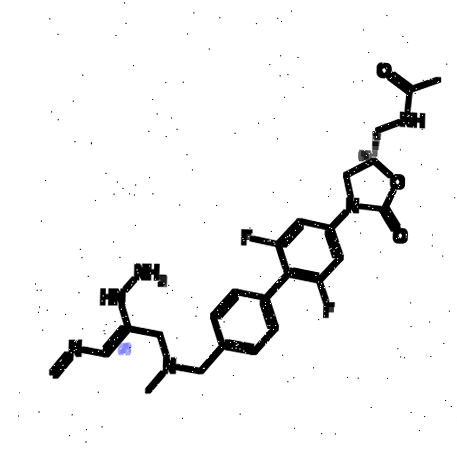 C=N/C=C(/CN(C)Cc1ccc(-c2c(F)cc(N3C[C@H](CNC(C)=O)OC3=O)cc2F)cc1)NN